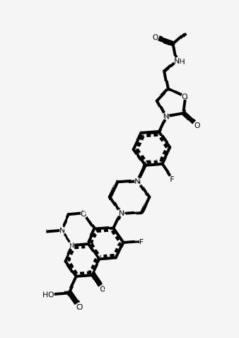 CC(=O)NCC1CN(c2ccc(N3CCN(c4c(F)cc5c(=O)c(C(=O)O)cn6c5c4OCN6C)CC3)c(F)c2)C(=O)O1